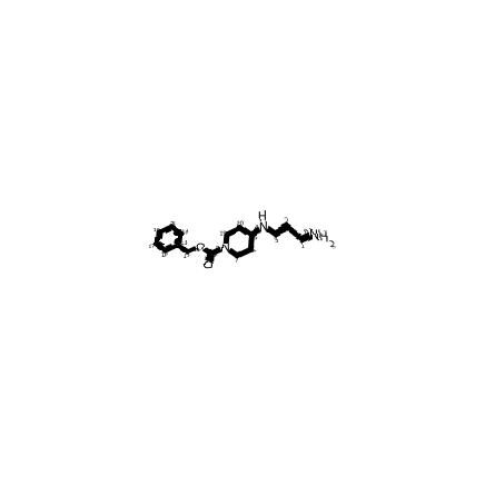 NCCCNC1CCN(C(=O)OCc2ccccc2)CC1